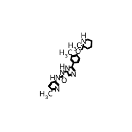 Cc1ccc(NC(=O)Nc2cncc(-c3ccc(OC[C@]4(C)CCCCN4)c(C)c3)n2)cn1